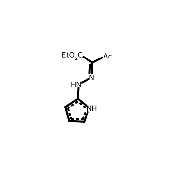 CCOC(=O)/C(=N\Nc1ccc[nH]1)C(C)=O